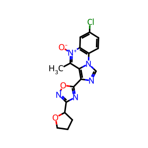 Cc1c2c(-c3nc(C4CCCO4)no3)ncn2c2ccc(Cl)cc2[n+]1[O-]